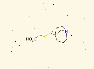 O=C(O)CSCC12CCCN(CC1)C2